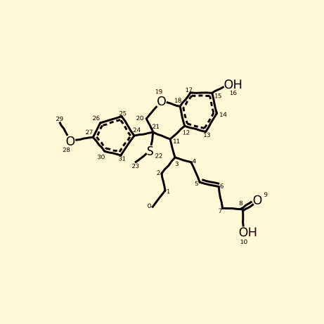 CCCC(CC=CCC(=O)O)C1c2ccc(O)cc2OCC1(SC)c1ccc(OC)cc1